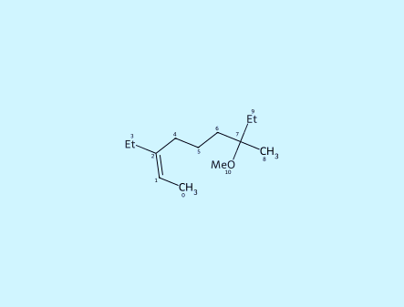 CC=C(CC)CCCC(C)(CC)OC